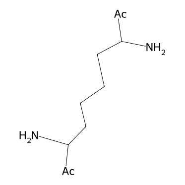 CC(=O)C(N)CCCCC(N)C(C)=O